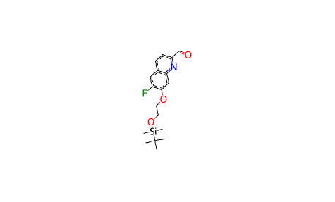 CC(C)(C)[Si](C)(C)OCCOc1cc2nc(C=O)ccc2cc1F